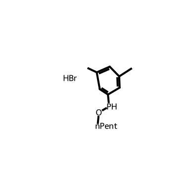 Br.CCCCCOPc1cc(C)cc(C)c1